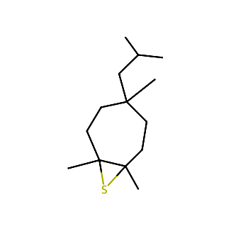 CC(C)CC1(C)CCC2(C)SC2(C)CC1